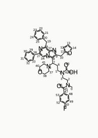 CN(CCN(CCC(c1c(Cc2ccco2)nc2c(Cc3ccccc3)nc(-c3ccccc3)cn12)N1CCOCC1)C(=O)O)C(=O)c1ccc(F)cc1